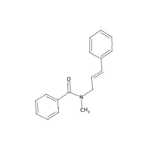 CN(CC=Cc1ccccc1)C(=O)c1ccccc1